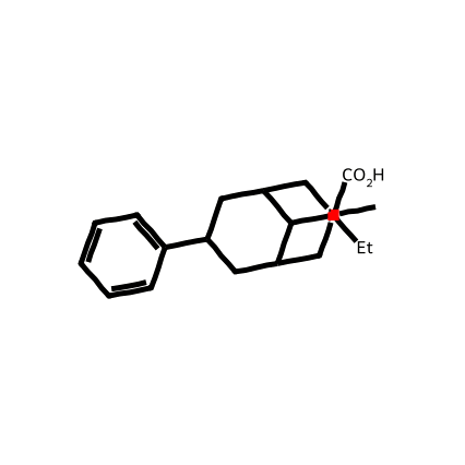 CCC(C(=O)O)C1C2CC(c3ccccc3)CC1CN(C)C2